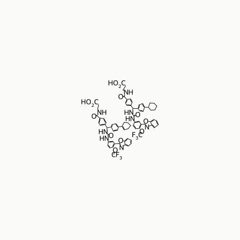 O=C(O)CCNC(=O)c1ccc(C(NC(=O)Nc2ccc(OC(F)(F)F)c(-c3nc4ccccc4o3)c2)c2ccc(C3=CCCCC3)cc2)cc1.O=C(O)CCNC(=O)c1ccc(C(NC(=O)Nc2ccc(OC(F)(F)F)c(-c3nc4ccccc4o3)c2)c2ccc(C3CCCCC3)cc2)cc1